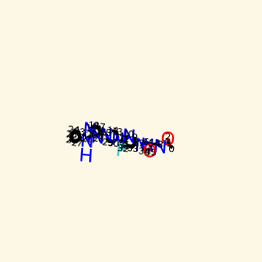 CC(=O)NCC1CN(c2cnc(N3CCN(c4ccnc(Nc5ccccc5)n4)CC3)c(F)c2)CO1